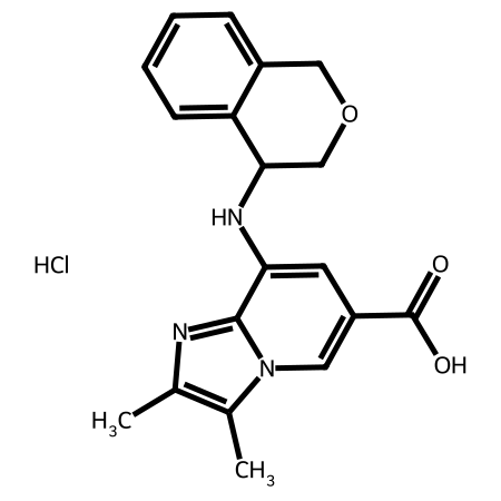 Cc1nc2c(NC3COCc4ccccc43)cc(C(=O)O)cn2c1C.Cl